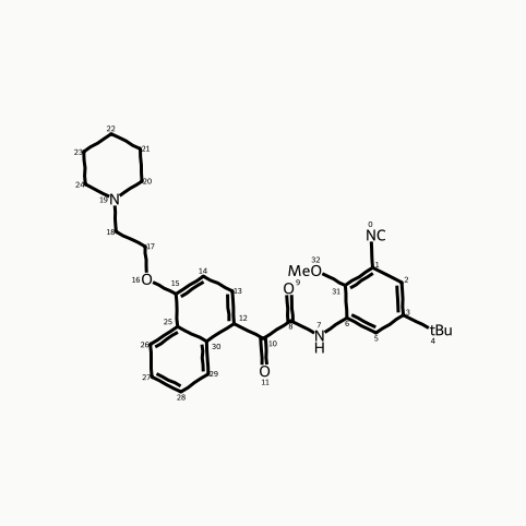 [C-]#[N+]c1cc(C(C)(C)C)cc(NC(=O)C(=O)c2ccc(OCCN3CCCCC3)c3ccccc23)c1OC